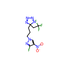 O=[N+]([O-])c1cn(CCCC2(CC(F)(F)F)N=NN=N2)nc1F